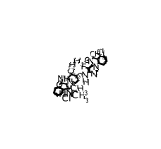 CNC(C)(c1ccccc1Cl)C(C(N)=O)N1CC[C@H](CNc2ncnc(N(C)C(C)c3ccccc3Cl)c2F)[C@@H](O)C1